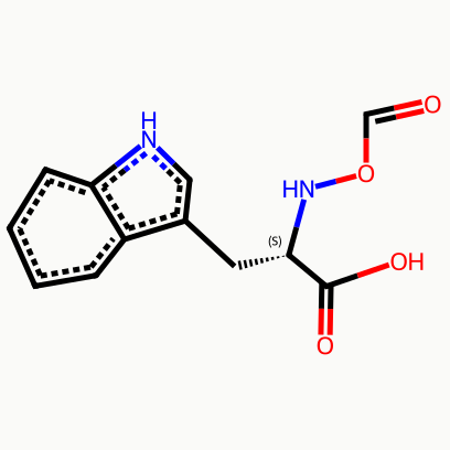 O=CON[C@@H](Cc1c[nH]c2ccccc12)C(=O)O